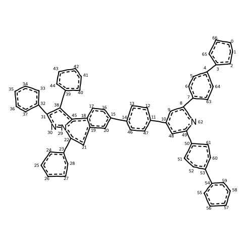 c1ccc(-c2ccc(-c3cc(-c4ccc(-c5ccc6c(c5)cc(-c5ccccc5)n5nc(-c7ccccc7)c(-c7ccccc7)c65)cc4)cc(-c4ccc(-c5ccccc5)cc4)n3)cc2)cc1